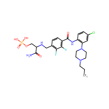 NC(=O)C(COP(=O)(O)O)NCc1ccc(C(=O)Nc2ccc(Cl)cc2N2CCN(CCC(F)(F)F)CC2)c(F)c1F